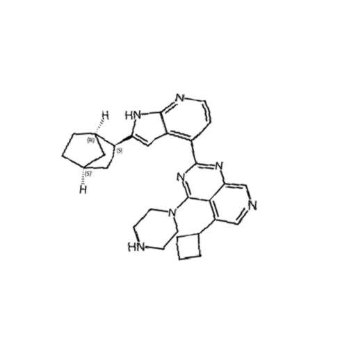 c1cc(-c2nc(N3CCNCC3)c3c(C4CCC4)cncc3n2)c2cc([C@H]3C[C@H]4CC[C@@H]3C4)[nH]c2n1